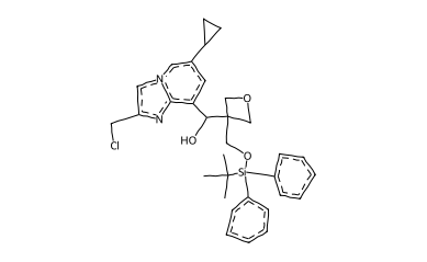 CC(C)(C)[Si](OCC1(C(O)c2cc(C3CC3)cn3cc(CCl)nc23)COC1)(c1ccccc1)c1ccccc1